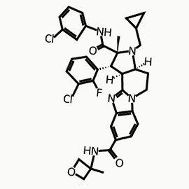 CC1(NC(=O)c2ccc3c(c2)nc2n3CC[C@H]3[C@@H]2[C@H](c2cccc(Cl)c2F)[C@](C)(C(=O)Nc2cccc(Cl)c2)N3CC2CC2)COC1